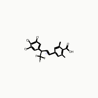 Cc1cc(/C=C/C(c2cc(Cl)c(Cl)c(Cl)c2)C(F)(F)F)cc(C)c1C(=O)O